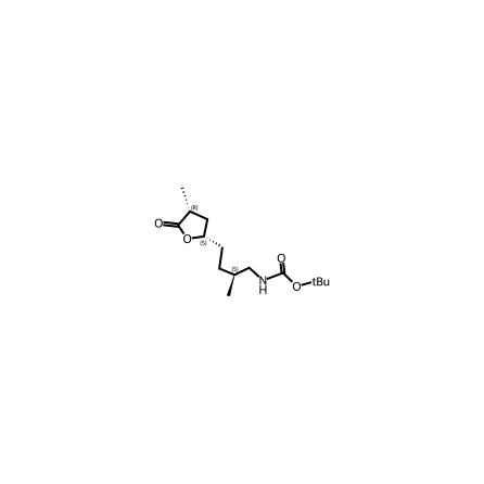 C[C@@H](CC[C@H]1C[C@@H](C)C(=O)O1)CNC(=O)OC(C)(C)C